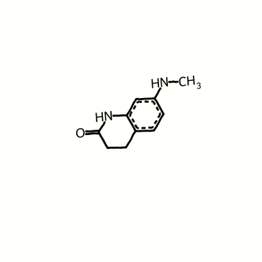 CNc1ccc2c(c1)NC(=O)CC2